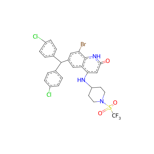 O=c1cc(NC2CCN(S(=O)(=O)C(F)(F)F)CC2)c2cc(C(c3ccc(Cl)cc3)c3ccc(Cl)cc3)cc(Br)c2[nH]1